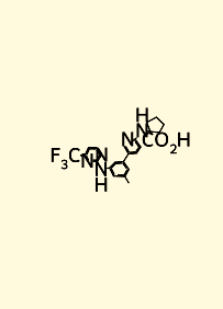 Cc1cc(Nc2nccc(C(F)(F)F)n2)cc(-c2ccc(NC3(C(=O)O)CCCC3)nc2)c1